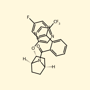 O=C(c1ccccc1-c1ncc(F)cn1)N1[C@@H]2CC[C@H]1[C@H](Oc1cnc(C(F)(F)F)cn1)C2